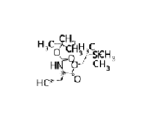 C#CC[C@@H](NC(=O)OC(C)(C)C)C(=O)OCC[Si](C)(C)C